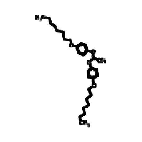 CCCCCCCCOc1ccc(OB(O)Oc2ccc(OCCCCCCCC)cc2)cc1